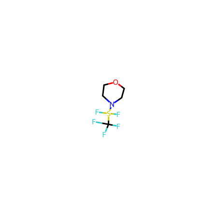 FC(F)(F)S(F)(F)N1CCOCC1